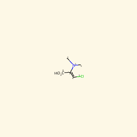 CN(C)C(=CCl)C(=O)O